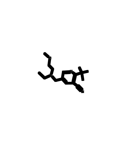 CCN(CCOC)Cc1cnc(C(C)(C)C)c(C#N)c1